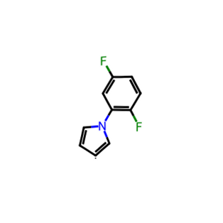 Fc1ccc(F)c(-n2c[c]cc2)c1